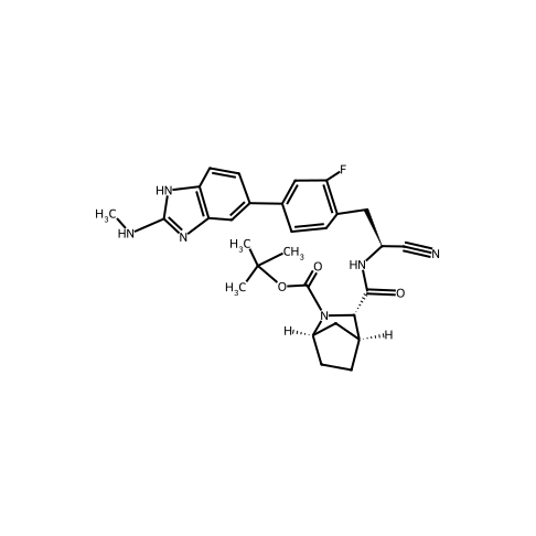 CNc1nc2cc(-c3ccc(C[C@@H](C#N)NC(=O)[C@@H]4[C@H]5CC[C@H](C5)N4C(=O)OC(C)(C)C)c(F)c3)ccc2[nH]1